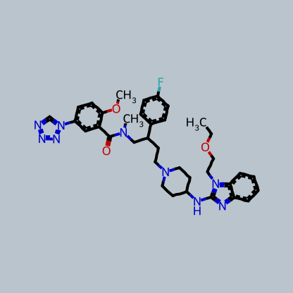 CCOCCn1c(NC2CCN(CCC(CN(C)C(=O)c3cc(-n4cnnn4)ccc3OC)c3ccc(F)cc3)CC2)nc2ccccc21